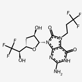 Nc1nc2c(c(=O)[nH]1)n(CCC(F)(F)F)c(=O)n2[C@@H]1O[C@H]([C@@H](O)C(F)(F)F)C[C@H]1O